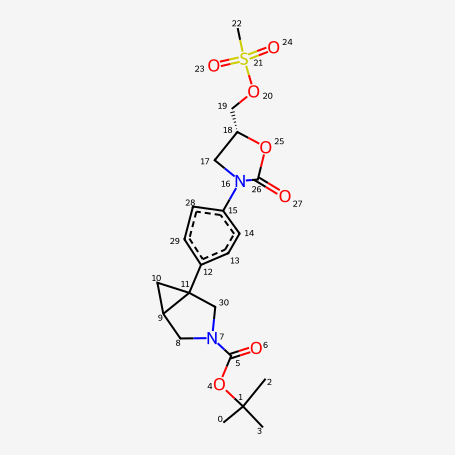 CC(C)(C)OC(=O)N1CC2CC2(c2ccc(N3C[C@H](COS(C)(=O)=O)OC3=O)cc2)C1